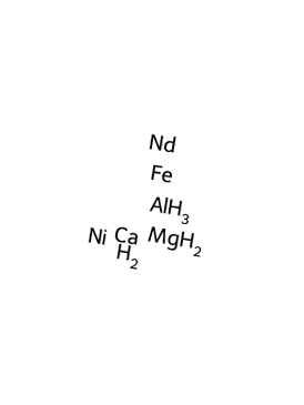 [AlH3].[CaH2].[Fe].[MgH2].[Nd].[Ni]